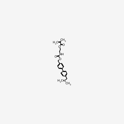 C=C(C)C(=O)OCCNC(=O)OCc1ccc(-c2ccc(CN(C)C)cc2)cc1